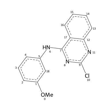 COc1cccc(Nc2nc(Cl)nc3ccccc23)c1